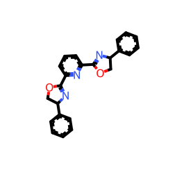 c1ccc(C2COC(c3cccc(C4=NC(c5ccccc5)CO4)n3)=N2)cc1